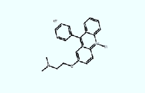 CC[n+]1c2ccccc2c(-c2ccccc2)c2cc(OCCN(C)C)ccc21.[Cl-]